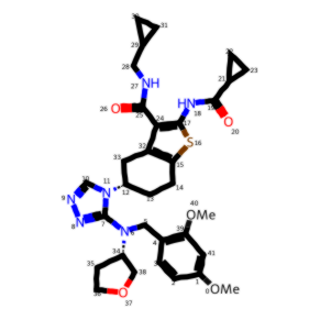 COc1ccc(CN(c2nncn2[C@H]2CCc3sc(NC(=O)C4CC4)c(C(=O)NCC4CC4)c3C2)[C@H]2CCOC2)c(OC)c1